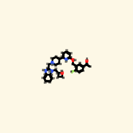 CC(=O)c1ccc(F)c(COc2cccc(C3CCN(Cc4nc5ccccc5n4C[C@@H]4CCO4)CC3)n2)c1